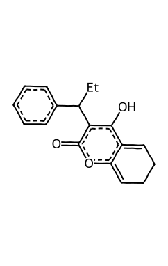 CCC(c1ccccc1)c1c(O)c2c(oc1=O)=CCCC=2